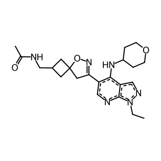 CCn1ncc2c(NC3CCOCC3)c(C3=NOC4(C3)CC(CNC(C)=O)C4)cnc21